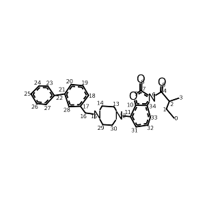 CCC(C)C(=O)n1c(=O)oc2c(N3CCN(Cc4cccc(-c5ccccc5)c4)CC3)cccc21